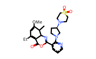 CCC1=C2C(=O)OC(c3cccnc3N3CC[C@@H](N4CCS(=O)(=O)CC4)C3)=NC2C(C)C(OC)=C1